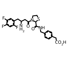 NC(CC(=O)N1CCSC1C(=O)NCc1ccc(CC(=O)O)cc1)Cc1cc(F)c(F)cc1F